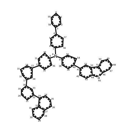 c1ccc(-c2ccc(N(c3ccc(-c4cccc(-c5cccc(-c6cccc7ccccc67)c5)c4)cc3)c3ccc(-c4ccc5sc6ccccc6c5c4)cc3)cc2)cc1